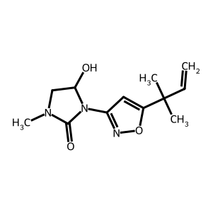 C=CC(C)(C)c1cc(N2C(=O)N(C)CC2O)no1